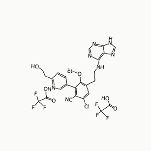 CCOc1c(CCNc2ncnc3[nH]cnc23)cc(Cl)c(C#N)c1-c1ccc(CCO)nc1.O=C(O)C(F)(F)F.O=C(O)C(F)(F)F